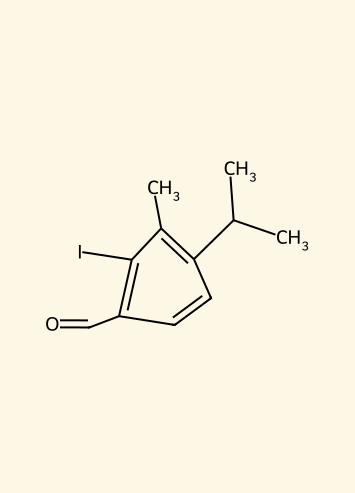 Cc1c(C(C)C)ccc(C=O)c1I